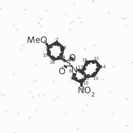 COc1ccc(S(=O)(=O)n2cc([N+](=O)[O-])c3ccccc32)cc1